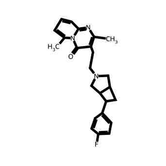 Cc1nc2cccc(C)n2c(=O)c1CCN1CC2CC(c3ccc(F)cc3)C2C1